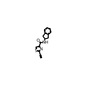 C#Cc1nc(C(=O)NC2Cc3ccccc3C2)cs1